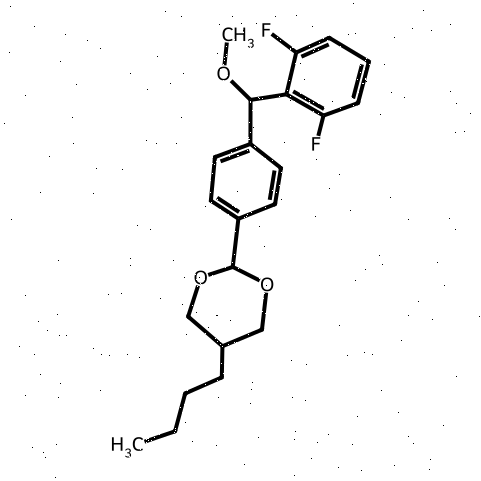 CCCCC1COC(c2ccc(C(OC)c3c(F)cccc3F)cc2)OC1